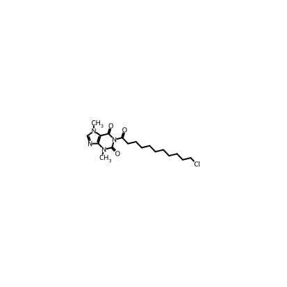 Cn1cnc2c1c(=O)n(C(=O)CCCCCCCCCCCl)c(=O)n2C